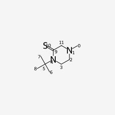 CN1CCN(C(C)(C)C)C(=S)C1